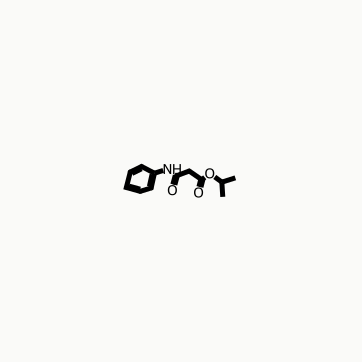 CC(C)OC(=O)CC(=O)Nc1ccccc1